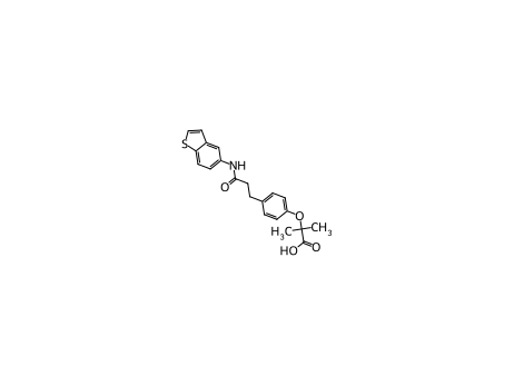 CC(C)(Oc1ccc(CCC(=O)Nc2ccc3sccc3c2)cc1)C(=O)O